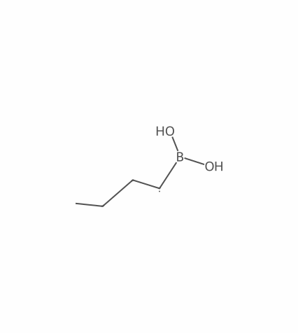 CCC[CH]B(O)O